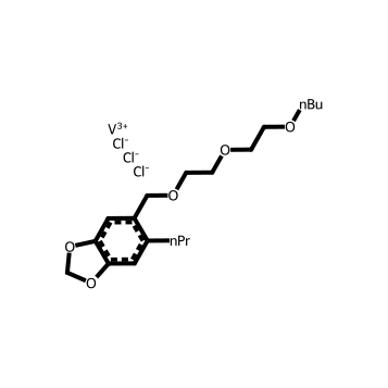 CCCCOCCOCCOCc1cc2c(cc1CCC)OCO2.[Cl-].[Cl-].[Cl-].[V+3]